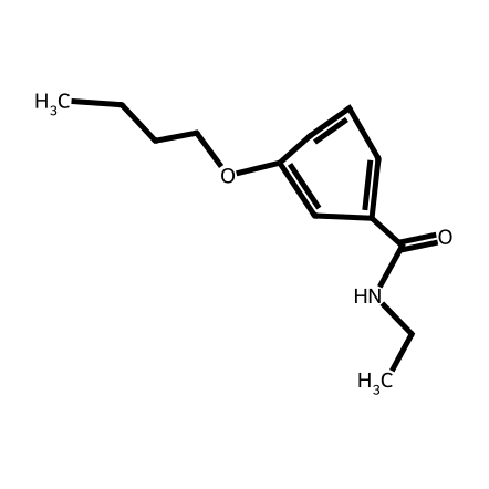 CCCCOc1cccc(C(=O)NCC)c1